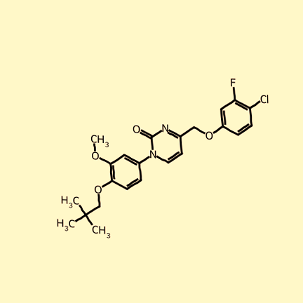 COc1cc(-n2ccc(COc3ccc(Cl)c(F)c3)nc2=O)ccc1OCC(C)(C)C